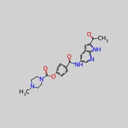 CC(=O)c1cc2cc(NC(=O)c3ccc(OC(=O)N4CCN(C)CC4)cc3)cnc2[nH]1